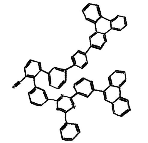 N#Cc1cccc(-c2cccc(-c3ccc(-c4ccc5c6ccccc6c6ccccc6c5c4)cc3)c2)c1-c1cccc(-c2nc(-c3ccccc3)nc(-c3cccc(-c4cc5ccccc5c5ccccc45)c3)n2)c1